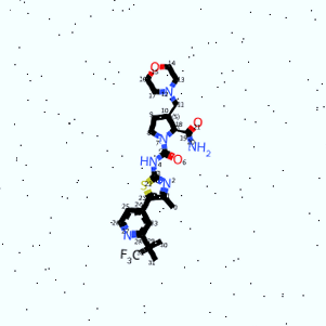 Cc1nc(NC(=O)N2CC[C@@H](CN3CCOCC3)[C@H]2C(N)=O)sc1-c1ccnc(C(C)(C)C(F)(F)F)c1